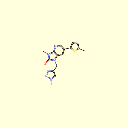 Cc1ccc(-c2cnc3c(c2)n(Cc2cn(C)nn2)c(=O)n3C)s1